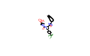 O=C(N1CC(O)C1)N1CC(c2ccc(C(F)(F)F)cc2)CC(c2nc(-c3ccccc3)no2)C1